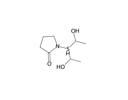 CC(O)[SH](C(C)O)N1CCCC1=O